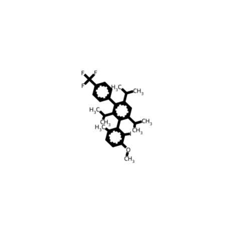 COc1ccc(C)c(-c2c(C(C)C)cc(C(C)C)c(-c3ccc(C(F)(F)F)cc3)c2C(C)C)c1I